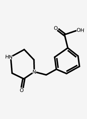 O=C(O)c1cccc(CN2CCNCC2=O)c1